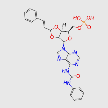 O=C(Nc1ccccc1)Nc1ncnc2c1ncn2[C@@H]1O[C@H](COP(=O)(O)O)[C@@H]2OC(/C=C/c3ccccc3)OC21